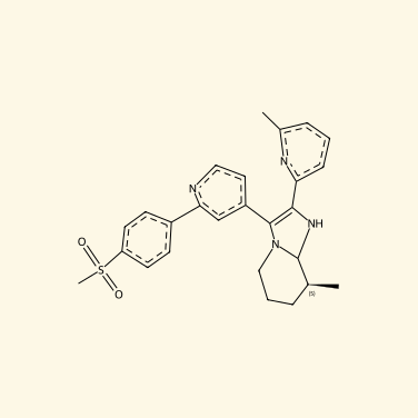 Cc1cccc(C2=C(c3ccnc(-c4ccc(S(C)(=O)=O)cc4)c3)N3CCC[C@H](C)C3N2)n1